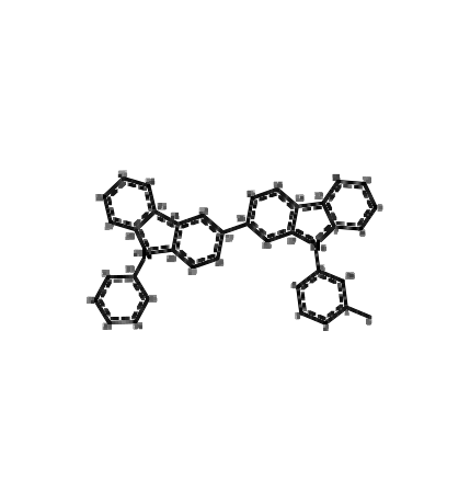 Cc1cccc(-n2c3ccccc3c3ccc(-c4ccc5c(c4)c4ccccc4n5-c4ccccc4)cc32)c1